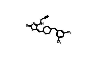 C#CCNC1=NC(=O)SC1=CC1CCN(Cc2cc(C(F)(F)F)cc(C(F)(F)F)c2)CC1